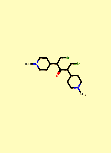 CN1CCC(C(CBr)C(=O)C(CBr)C2CCN(C)CC2)CC1